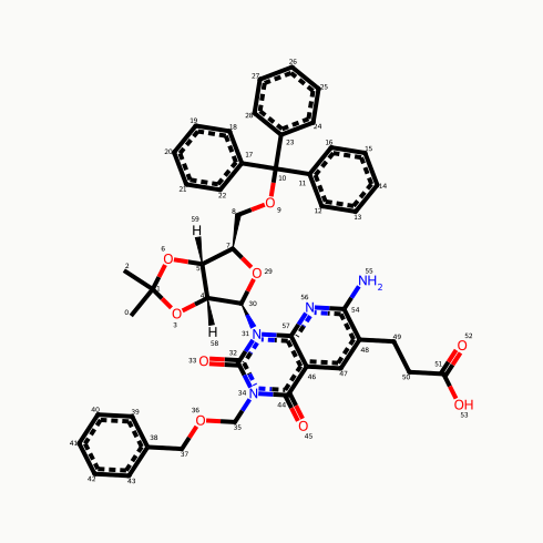 CC1(C)O[C@@H]2[C@H](O1)[C@@H](COC(c1ccccc1)(c1ccccc1)c1ccccc1)O[C@H]2n1c(=O)n(COCc2ccccc2)c(=O)c2cc(CCC(=O)O)c(N)nc21